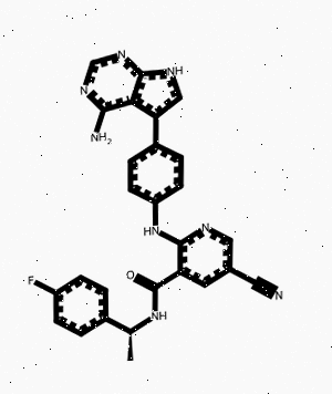 C[C@H](NC(=O)c1cc(C#N)cnc1Nc1ccc(-c2c[nH]c3ncnc(N)c23)cc1)c1ccc(F)cc1